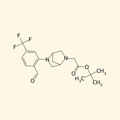 CC(C)(C)OC(=O)CN1CC2CC1CN2c1cc(C(F)(F)F)ccc1C=O